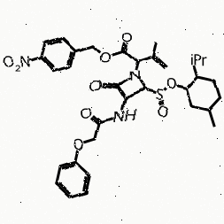 C=C(C)C(C(=O)OCc1ccc([N+](=O)[O-])cc1)N1C(=O)C(NC(=O)COc2ccccc2)C1S(=O)OC1CC(C)CCC1C(C)C